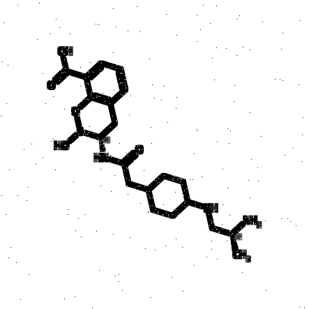 C[C@H](N)CNC1CCC(CC(=O)N[C@H]2Cc3cccc(C(=O)O)c3OB2O)CC1